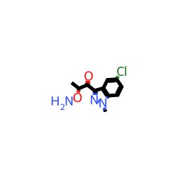 CC(ON)C(=O)c1nn(C)c2ccc(Cl)cc12